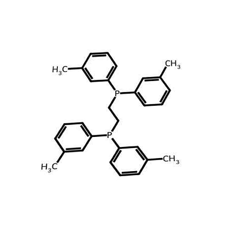 Cc1cccc(P(CCP(c2cccc(C)c2)c2cccc(C)c2)c2cccc(C)c2)c1